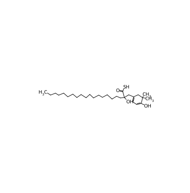 CCCCCCCCCCCCCCCCCCC(O)(CC1=CC=C(O)C(C)(C)C1)C(=O)S